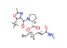 Cc1nc(C(=O)N2CCC[C@@H]2C(=O)O[C@H](C(C)C)[C@H](C)/C=C/C(N)=O)c([Si](C)(C)C)o1